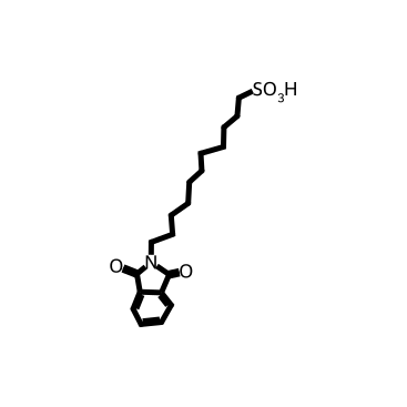 O=C1c2ccccc2C(=O)N1CCCCCCCCCCCS(=O)(=O)O